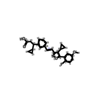 COc1ccc(F)c(-c2onc(/C=C/c3cccc(C(CC(=O)O)C4CC4)c3)c2C2CC2)c1